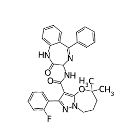 CC1(C)CCCn2nc(-c3ccccc3F)c(C(=O)NC3N=C(c4ccccc4)c4ccccc4NC3=O)c2O1